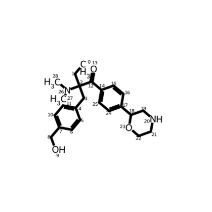 CCC(Cc1ccc(CO)cc1)(C(=O)c1ccc(C2CNCCO2)cc1)N(C)C